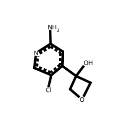 Nc1cc(C2(O)COC2)c(Cl)cn1